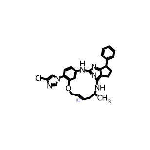 CC1C/C=C/COc2cc(ccc2-n2cnc(Cl)c2)Nc2nc(c3c(n2)C(c2ccccc2)CC3)N1